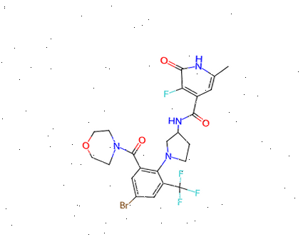 Cc1cc(C(=O)NC2CCN(c3c(C(=O)N4CCOCC4)cc(Br)cc3C(F)(F)F)C2)c(F)c(=O)[nH]1